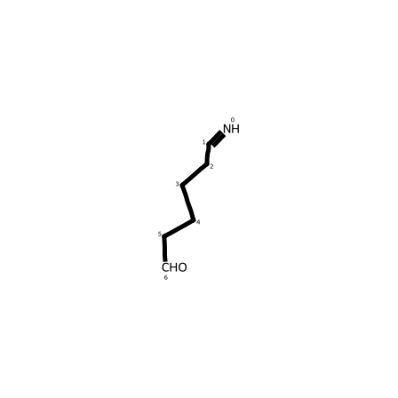 N=CCCCCC=O